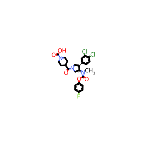 CN(C(=O)Oc1ccc(F)cc1)[C@H]1CN(C(=O)C2CCN(C(=O)O)CC2)C[C@@H]1c1ccc(Cl)c(Cl)c1